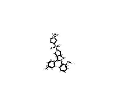 O=S(=O)(C1CCS2(C1)OO2)N1Cc2nn(-c3ccccc3OC(F)(F)F)c(-c3ccc(Cl)cc3)c2C1